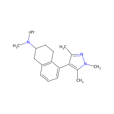 CCCN(C)C1CCc2c(cccc2-c2c(C)nn(C)c2C)C1